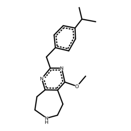 COc1nc(Cc2ccc(C(C)C)cc2)nc2c1CCNCC2